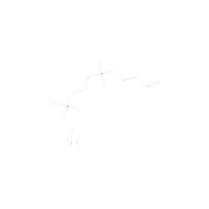 C=CCCOC(C)(C)CCOC(C)(CC)CCN